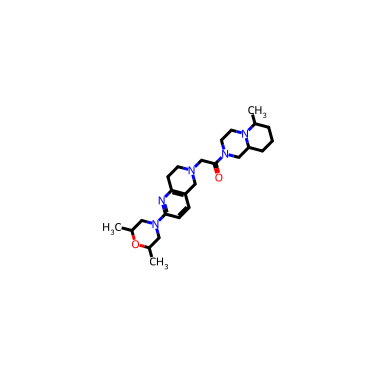 CC1CN(c2ccc3c(n2)CCN(CC(=O)N2CCN4C(C)CCCC4C2)C3)CC(C)O1